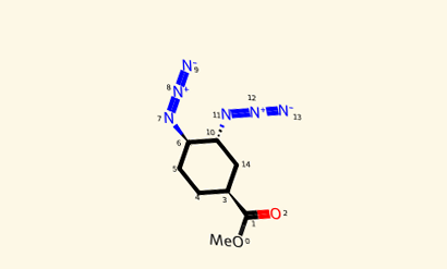 COC(=O)[C@H]1CC[C@@H](N=[N+]=[N-])[C@H](N=[N+]=[N-])C1